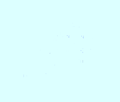 Cc1ccc(S(=O)OS(N(C)C)(N(C)C)N(C)C)cc1